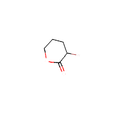 O=C1OCCCC1Br